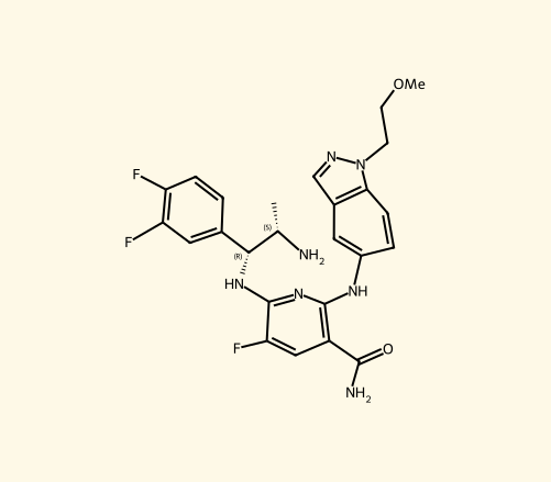 COCCn1ncc2cc(Nc3nc(N[C@H](c4ccc(F)c(F)c4)[C@H](C)N)c(F)cc3C(N)=O)ccc21